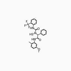 COc1ccc(C)c(NC(=O)C(c2ccccc2)N(S)C(=O)Nc2ccccc2C(F)(F)F)c1